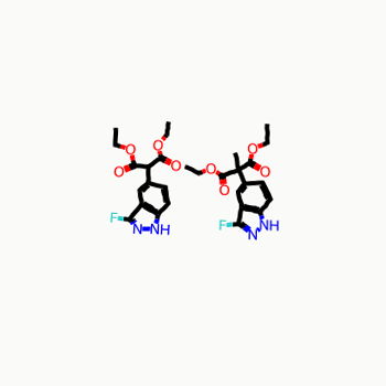 CCOC(=O)C(C(=O)OCC)c1ccc2[nH]nc(F)c2c1.CCOC(=O)C(C)(C(=O)OCC)c1ccc2[nH]nc(F)c2c1